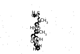 CCN(CCN(CC)C1COC1)c1ccc(Nc2cc(-c3ccnc(N4CCn5c(cc6c5[C@@H]5CC[C@H]6C5)C4=O)c3CO)cn(C)c2=O)nc1